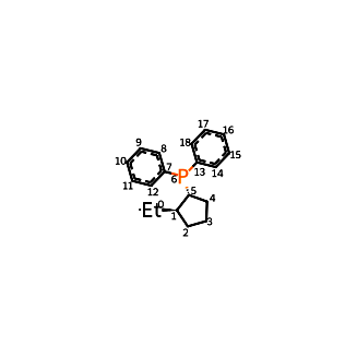 C[CH][C@@H]1CCC[C@H]1P(c1ccccc1)c1ccccc1